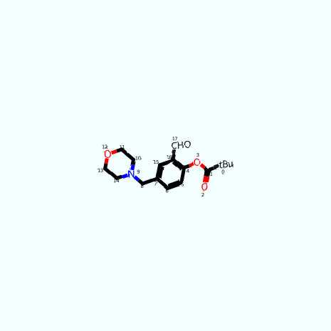 CC(C)(C)C(=O)Oc1ccc(CN2CCOCC2)cc1C=O